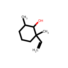 C=CC1(C)CCCC(C)C1O